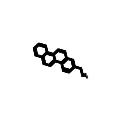 BCc1c#cc2c(ccc3c4ccccc4ccc23)c1